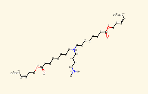 CCCCC/C=C\CCOC(=O)CCCCCCCN(CCCCCCCC(=O)OCC/C=C\CCCCC)CCCCN(C)C